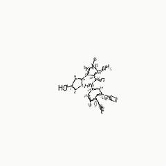 Cn1nc(C2CCC(O)C2)c(C(=O)Nc2ccc(F)c(Cl)c2)c1N